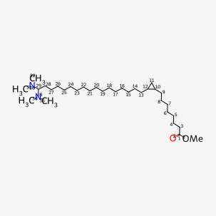 COC(=O)CCCCCCCC1CC1CCCCCCCCCCCCCCCCC(N(C)C)N(C)C